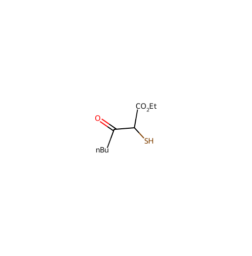 CCCCC(=O)C(S)C(=O)OCC